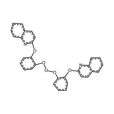 c1ccc(Oc2ccc3ccccc3n2)c(OOOc2ccccc2Oc2ccc3ccccc3n2)c1